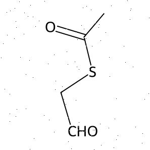 CC(=O)SCC=O